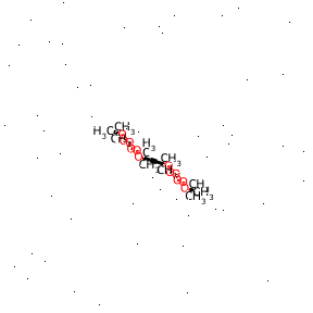 CC(C)(C)OOOOOOC(C)(C)C#CC(C)(C)OOOOOOC(C)(C)C